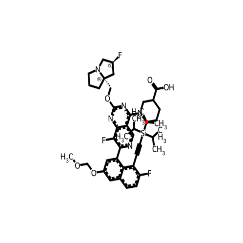 COCOc1cc(-c2ncc3c(N4CCCC(C(=O)O)C4)nc(OC[C@]45CCCN4C[C@@H](F)C5)nc3c2F)c2c(C#C[Si](C(C)C)(C(C)C)C(C)C)c(F)ccc2c1